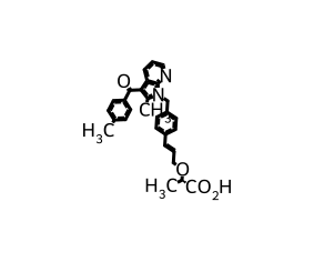 Cc1ccc(C(=O)c2c(C)n(Cc3ccc(/C=C/CO[C@H](C)C(=O)O)cc3)c3ncccc23)cc1